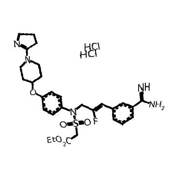 CCOC(=O)CS(=O)(=O)N(C/C(F)=C/c1cccc(C(=N)N)c1)c1ccc(OC2CCN(C3=NCCC3)CC2)cc1.Cl.Cl